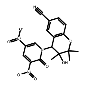 CC1(C)Oc2ccc(C#N)cc2C(n2cc([N+](=O)[O-])cc([N+](=O)[O-])c2=O)C1(C)O